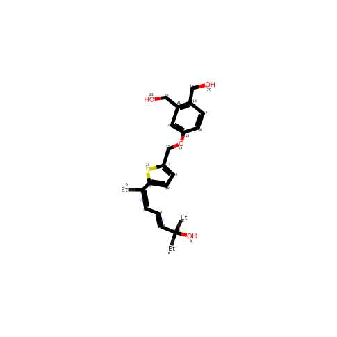 CC/C(=C/C=C/C(O)(CC)CC)c1ccc(COc2ccc(CO)c(CO)c2)s1